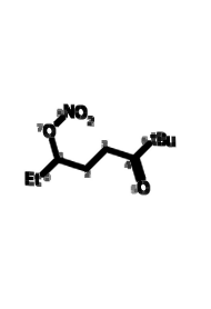 CCC(CCC(=O)C(C)(C)C)O[N+](=O)[O-]